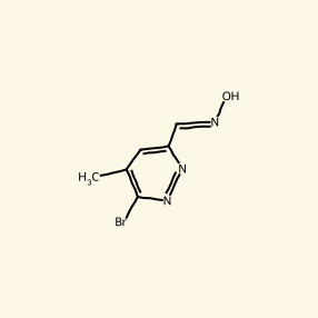 Cc1cc(C=NO)nnc1Br